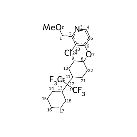 COCc1nccc(OC2CCC(C(C3CCCCC3)(C(F)(F)F)C(F)(F)F)CC2)c1Cl